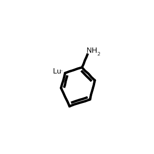 Nc1ccccc1.[Lu]